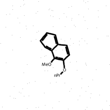 CCCOc1ccc2ccccc2c1OC